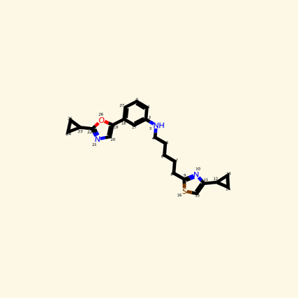 c1cc(NCCCCCc2nc(C3CC3)cs2)cc(-c2cnc(C3CC3)o2)c1